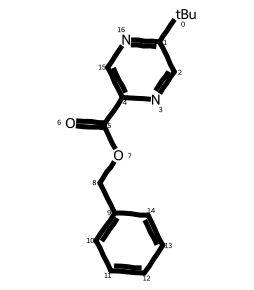 CC(C)(C)c1cnc(C(=O)OCc2ccccc2)cn1